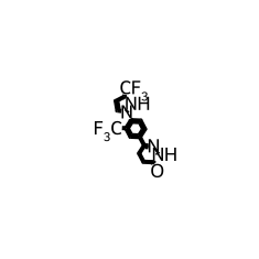 O=C1CCC(c2ccc(N3C=CC(C(F)(F)F)N3)c(C(F)(F)F)c2)=NN1